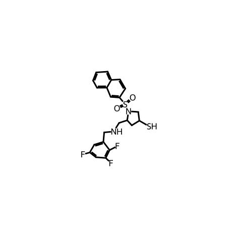 O=S(=O)(c1ccc2ccccc2c1)N1CC(S)CC1CNCc1cc(F)cc(F)c1F